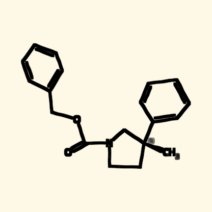 C[C@@]1(c2ccccc2)CCN(C(=O)OCc2ccccc2)C1